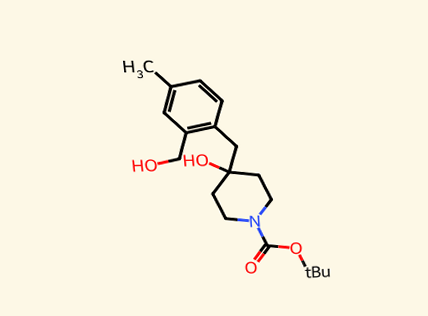 Cc1ccc(CC2(O)CCN(C(=O)OC(C)(C)C)CC2)c(CO)c1